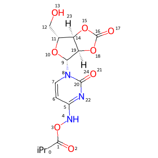 CC(C)C(=O)ONc1ccn([C@@H]2O[C@H](CO)[C@H]3OC(=O)O[C@H]32)c(=O)n1